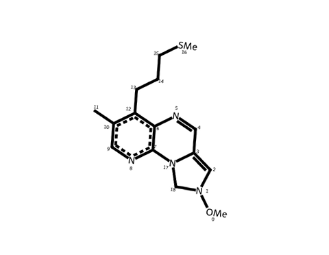 CON1C=C2C=Nc3c(ncc(C)c3CCCSC)N2C1